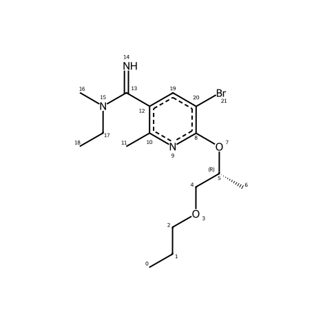 CCCOC[C@@H](C)Oc1nc(C)c(C(=N)N(C)CC)cc1Br